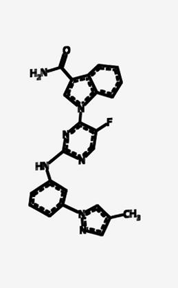 Cc1cnn(-c2cccc(Nc3ncc(F)c(-n4cc(C(N)=O)c5ccccc54)n3)c2)c1